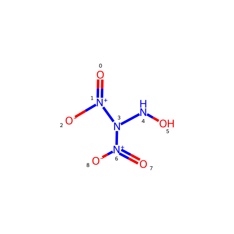 O=[N+]([O-])N(NO)[N+](=O)[O-]